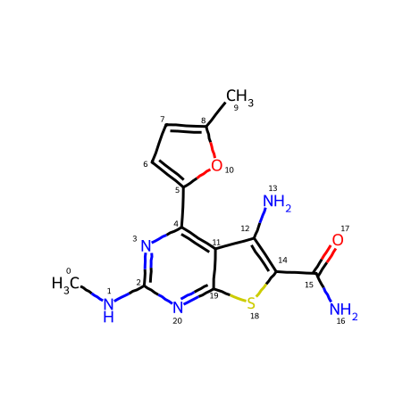 CNc1nc(-c2ccc(C)o2)c2c(N)c(C(N)=O)sc2n1